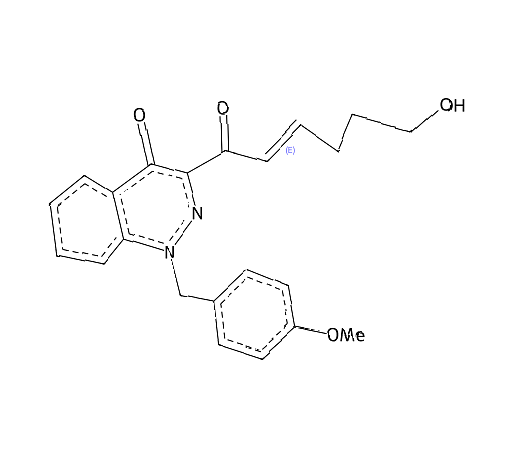 COc1ccc(Cn2nc(C(=O)/C=C/CCCO)c(=O)c3ccccc32)cc1